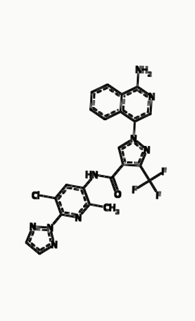 Cc1nc(-n2nccn2)c(Cl)cc1NC(=O)c1cn(-c2cnc(N)c3ccccc23)nc1C(F)(F)F